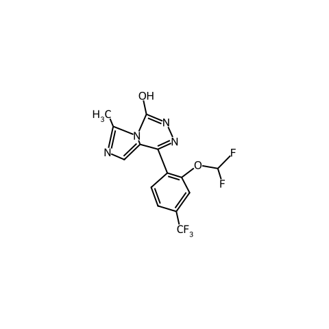 Cc1ncc2c(-c3ccc(C(F)(F)F)cc3OC(F)F)nnc(O)n12